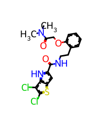 CN(C)C(=O)COc1ccccc1CCNC(=O)c1cc2sc(Cl)c(Cl)c2[nH]1